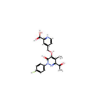 CC(=O)c1nn(-c2ccc(F)cc2)c(=O)c(OCc2ccnc(C(=O)O)c2)c1C